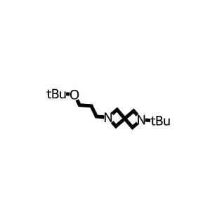 CC(C)(C)OCCCN1CC2(C1)CN(C(C)(C)C)C2